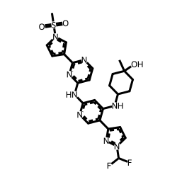 CC1(O)CCC(Nc2cc(Nc3ccnc(-c4ccn(S(C)(=O)=O)c4)n3)ncc2-c2ccn(C(F)F)n2)CC1